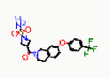 NS(=O)(=O)N1CC(C(=O)N2CCc3ccc(Oc4ccc(C(F)(F)F)cc4)cc3C2)C1